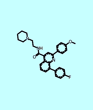 COc1ccc(-c2cc(C(=O)NCCN3CCCCC3)c3cccc(-c4ccc(F)cc4)c3n2)cc1